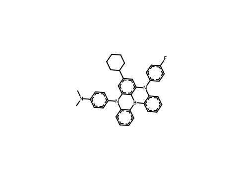 CN(C)c1ccc(N2c3ccccc3B3c4ccccc4N(c4ccc(F)cc4)c4cc(C5CCCCC5)cc2c43)cc1